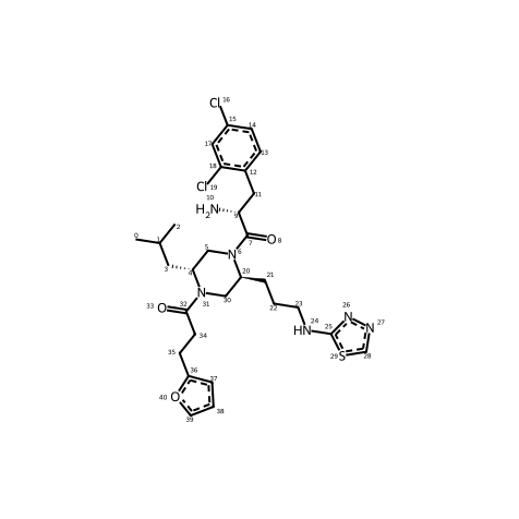 CC(C)C[C@@H]1CN(C(=O)[C@H](N)Cc2ccc(Cl)cc2Cl)[C@@H](CCCNc2nncs2)CN1C(=O)CCc1ccco1